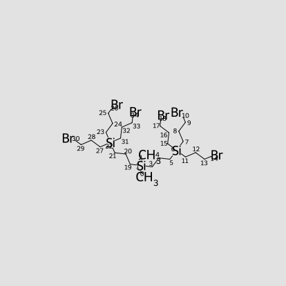 C[Si](C)(CCC[Si](CCCBr)(CCCBr)CCCBr)CCC[Si](CCCBr)(CCCBr)CCCBr